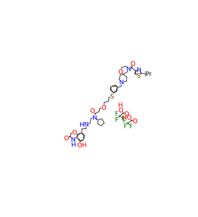 CC(C)c1nc(C(=O)N2CCOC3(CCN(Cc4cccc(SCCCOCCC(=O)N(CCNCCc5ccc(O)c6c5OCC(=O)N6)C5CCCC5)c4)CC3)C2)cs1.O=C(O)C(F)(F)F.O=C(O)C(F)(F)F